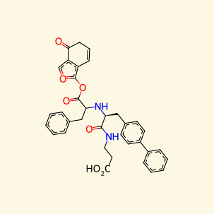 O=C(O)CCNC(=O)[C@H](Cc1ccc(-c2ccccc2)cc1)NC(Cc1ccccc1)C(=O)Oc1occ2c1C=CCC2=O